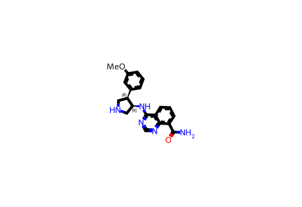 COc1cccc([C@@H]2CNC[C@@H]2Nc2ncnc3c(C(N)=O)cccc23)c1